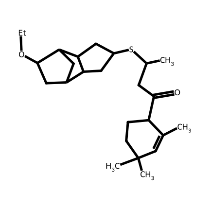 CCOC1CC2CC1C1CC(SC(C)CC(=O)C3CCC(C)(C)C=C3C)CC21